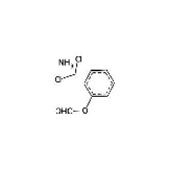 ClCCl.N.O=COc1ccccc1